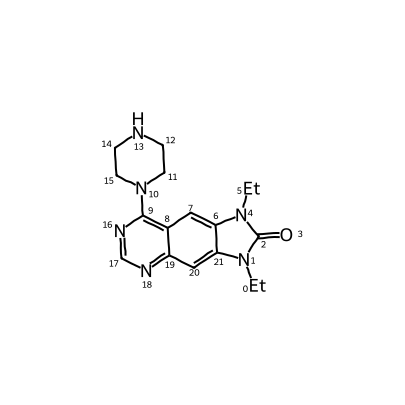 CCn1c(=O)n(CC)c2cc3c(N4CCNCC4)ncnc3cc21